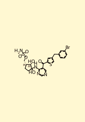 NS(=O)(=O)OC[C@H]1CC[C@@](O)(Nc2ncncc2C(=O)c2cc(Cc3cccc(Br)c3)cs2)[C@@H]1O